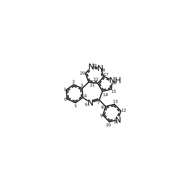 c1ccc2c(c1)N=C(c1ccncc1)c1c[nH]c3nncc-2c13